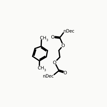 CCCCCCCCCCC(=O)OCCOC(=O)CCCCCCCCCC.Cc1ccc(C)cc1